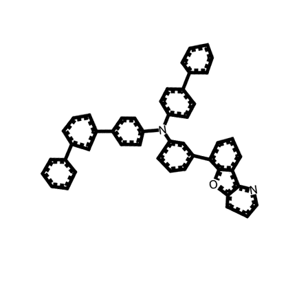 c1ccc(-c2ccc(N(c3ccc(-c4cccc(-c5ccccc5)c4)cc3)c3cccc(-c4cccc5c4oc4cccnc45)c3)cc2)cc1